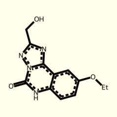 CCOc1ccc2[nH]c(=O)n3nc(CO)nc3c2c1